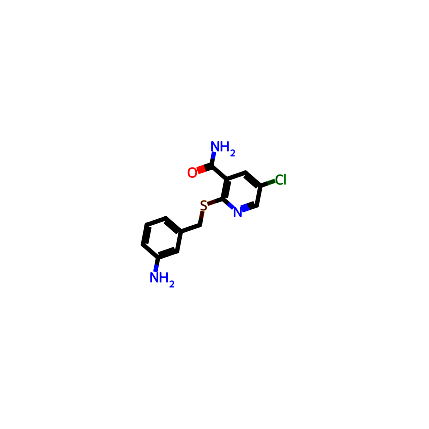 NC(=O)c1cc(Cl)cnc1SCc1cccc(N)c1